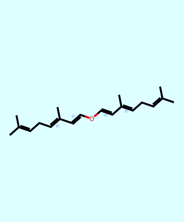 CC(C)=CC/C=C(C)/C=C/O/C=C/C(C)=C/CC=C(C)C